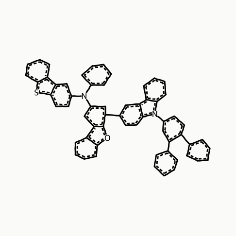 c1ccc(-c2ccc(-n3c4ccccc4c4cc(-c5cc(N(c6ccccc6)c6ccc7sc8ccccc8c7c6)cc6c5oc5ccccc56)ccc43)cc2-c2ccccc2)cc1